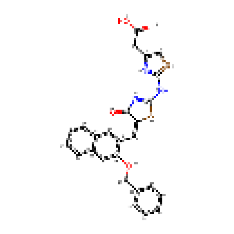 O=C(O)Cc1csc(NC2=NC(=O)C(=Cc3cc4ccccc4cc3OCc3ccccc3)S2)n1